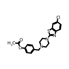 CC(=O)Oc1ccc(CN2CCN(c3nc4ccc(Cl)cc4s3)CC2)cc1